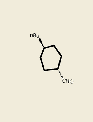 CCCC[C@H]1CC[C@H](C=O)CC1